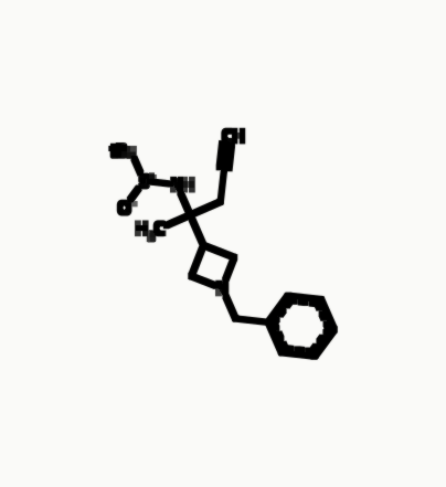 C#CCC(C)(N[S+]([O-])C(C)(C)C)C1CN(Cc2ccccc2)C1